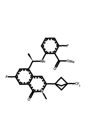 COC(=O)c1c(F)cccc1N[C@H](C)c1cc(F)cc2c(=O)n(C)c(C34CC(C(F)(F)F)(C3)C4)cc12